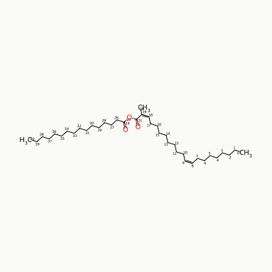 CCCCCCCC/C=C\CCCCCCCCC=C(C)C(=O)OC(=O)CCCCCCCCCCCCCCC